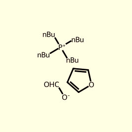 CCCC[P+](CCCC)(CCCC)CCCC.O=C[O-].c1ccoc1